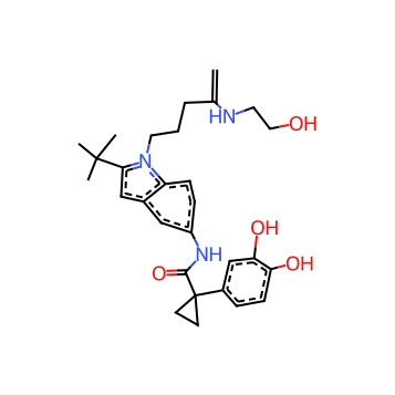 C=C(CCCn1c(C(C)(C)C)cc2cc(NC(=O)C3(c4ccc(O)c(O)c4)CC3)ccc21)NCCO